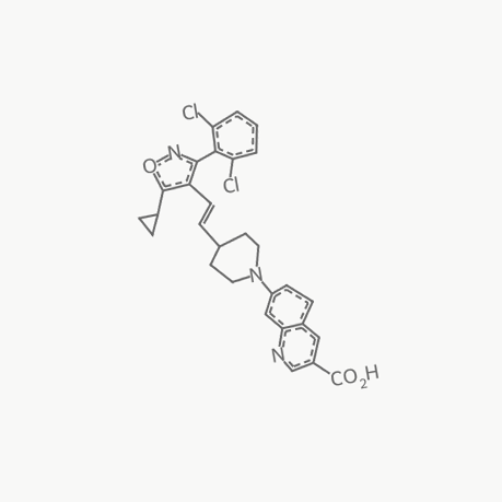 O=C(O)c1cnc2cc(N3CCC(C=Cc4c(-c5c(Cl)cccc5Cl)noc4C4CC4)CC3)ccc2c1